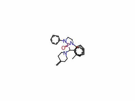 C=C1CCN(C(c2ccccc2C)P2(=O)N(c3ccccc3)CCN2c2ccccc2)CC1